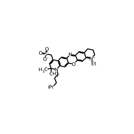 CC[N+]1=c2cc3c(cc2CCC1)=Nc1cc2c(cc1O3)N(CCCC(C)C)C(C)(C)C=C2CS(=O)(=O)[O-]